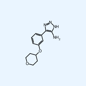 Nc1[nH]nnc1-c1cccc(OC2CCOCC2)c1